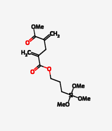 C=C(CC(=C)C(=O)OCCC[Si](OC)(OC)OC)C(=O)OC